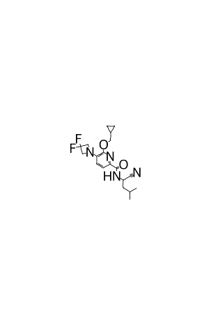 CC(C)CC(C#N)NC(=O)c1ccc(N2CC(F)(F)C2)c(OCC2CC2)n1